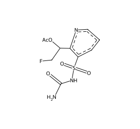 CC(=O)OC(CF)c1ncccc1S(=O)(=O)NC(N)=O